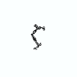 COC(=O)CCc1ccc(N(c2ccc(-c3ccc(-c4nc5sc(-c6ccc(-c7ccc(N(c8ccc(CCC(=O)OC)cc8)c8cccc(C)c8)cc7)s6)nc5s4)s3)cc2)c2cccc(C)c2)cc1